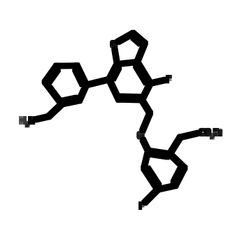 CCOC(=O)Cc1ccc(F)cc1OCc1cc(-c2cccc(CN)c2)c2occc2c1F